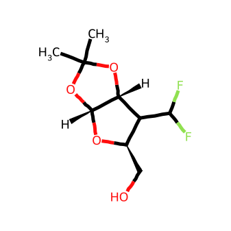 CC1(C)O[C@H]2O[C@H](CO)C(C(F)F)[C@H]2O1